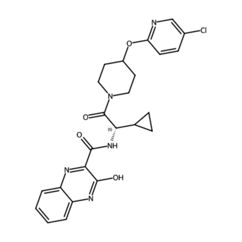 O=C(N[C@H](C(=O)N1CCC(Oc2ccc(Cl)cn2)CC1)C1CC1)c1nc2ccccc2nc1O